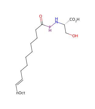 CCCCCCCCC=CCCCCCCCC(=O)PN[C@@H](CO)C(=O)O